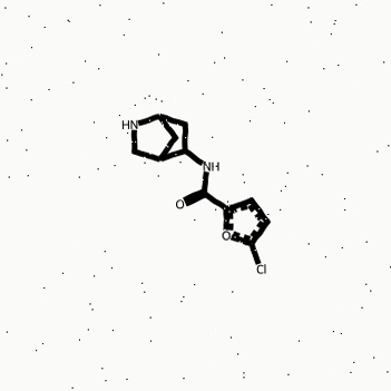 O=C(NC1CC2CC1CN2)c1ccc(Cl)o1